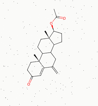 C=C1CC2C(CC[C@@]3(C)C2CC[C@@H]3OC(C)=O)[C@@]2(C)CCC(=O)C=C12